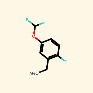 COCc1cc(OC(F)F)ccc1F